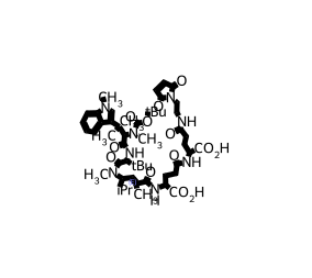 C/C(=C\C(C(C)C)N(C)C(=O)C(NC(=O)C(N(C)C(=O)OC(C)(C)C)C(C)(C)c1cn(C)c2ccccc12)C(C)(C)C)C(=O)NC(CCC(=O)NC(CCC(=O)NCCN1C(=O)C=CC1=O)C(=O)O)C(=O)O